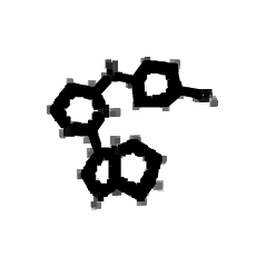 FC(F)(F)c1ccc(Nc2ccnc(-c3cnc4ccccn34)n2)cc1